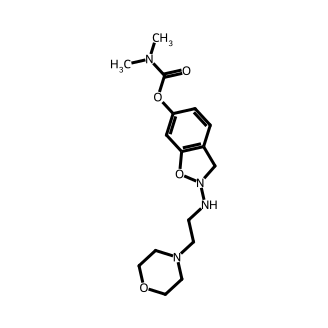 CN(C)C(=O)Oc1ccc2c(c1)ON(NCCN1CCOCC1)C2